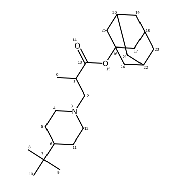 CC(CN1CCC(C(C)(C)C)CC1)C(=O)OC12CC3CC(CC(C3)C1)C2